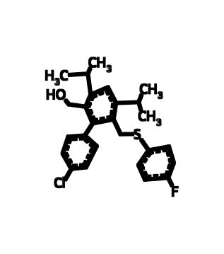 CC(C)c1cc(C(C)C)c(CSc2ccc(F)cc2)c(-c2ccc(Cl)cc2)c1CO